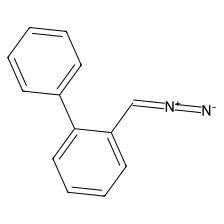 [N-]=[N+]=Cc1ccccc1-c1ccccc1